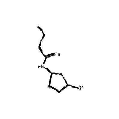 CCCC(=O)NC1CCC(O)C1